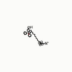 C=C(c1ccccc1)C12CCC(O)C1CC(CCCCCCCCCOP(=O)([O-])OCC[N+](C)(C)C)=C2c1ccccc1